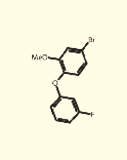 COc1cc(Br)ccc1Oc1cccc(F)c1